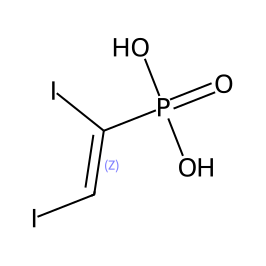 O=P(O)(O)/C(I)=C/I